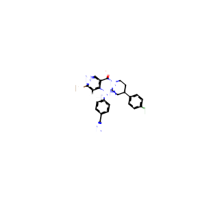 Cc1c(S)ncc(C(=O)N2CCC(c3ccc(F)cc3)CC2)c1Nc1ccc(C#N)cc1